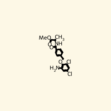 COC(=O)C(C)NC(=O)c1ccc(COc2c(N)cc(Cl)cc2Cl)cc1